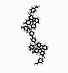 C=Cc1ccc(Oc2ccc(C3(c4ccc(F)cc4)c4ccccc4-c4ccc(N(c5ccc(-c6ccc(N(c7ccc8c(c7)[C@@](c7ccc(F)cc7)(c7ccc(Oc9ccc(C=C)cc9)cc7)c7ccccc7-8)c7ccc(F)cc7F)cc6)cc5)c5ccc(F)cc5F)cc43)cc2)cc1